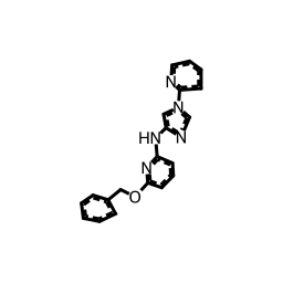 c1ccc(COc2cccc(Nc3cn(-c4ccccn4)cn3)n2)cc1